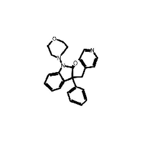 O=C1N(N2CCOCC2)c2ccccc2C1(Cc1ccncc1)c1ccccc1